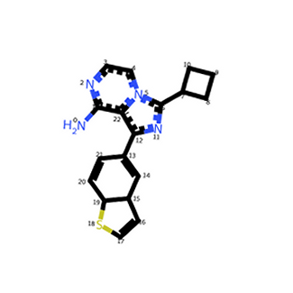 Nc1nccn2c(C3CCC3)nc(C3=CC4C=CSC4C=C3)c12